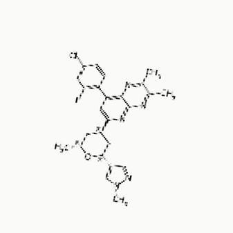 Cc1nc2nc([C@@H]3C[C@@H](C)O[C@@H](c4cnn(C)c4)C3)cc(-c3ccc(Cl)cc3F)c2nc1C